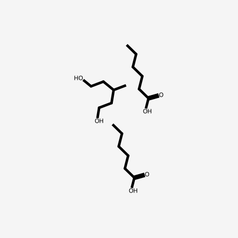 CC(CCO)CCO.CCCCCC(=O)O.CCCCCC(=O)O